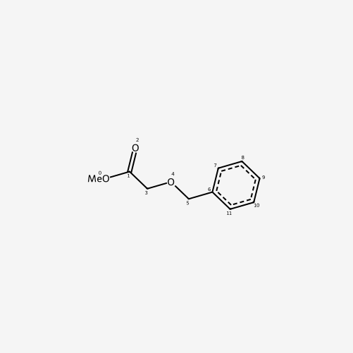 COC(=O)COCc1ccccc1